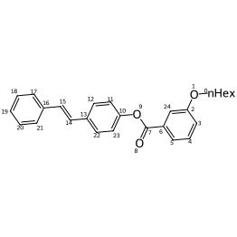 CCCCCCOc1cccc(C(=O)Oc2ccc(/C=C/c3ccccc3)cc2)c1